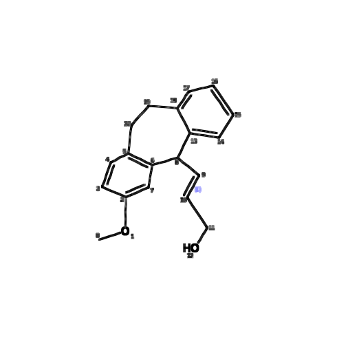 COc1ccc2c(c1)C(/C=C/CO)c1ccccc1CC2